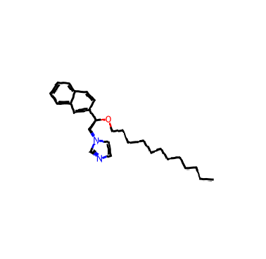 CCCCCCCCCCCCOC(Cn1ccnc1)c1ccc2ccccc2c1